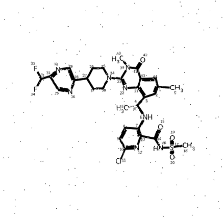 Cc1cc([C@@H](C)Nc2ccc(Cl)nc2C(=O)NS(C)(=O)=O)c2nc(N3CCC(c4cnc(C(F)F)cn4)CC3)n(C)c(=O)c2c1